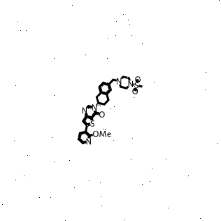 COc1ncccc1-c1cc2ncn([C@H]3CCc4cc(CN5CCN(S(C)(=O)=O)CC5)ccc4C3)c(=O)c2s1